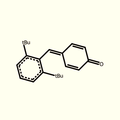 CC(C)(C)c1cccc(C(C)(C)C)c1C=C1C=CC(=O)C=C1